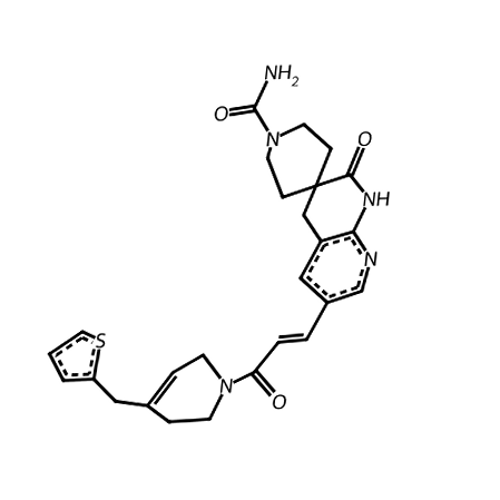 NC(=O)N1CCC2(CC1)Cc1cc(C=CC(=O)N3CC=C(Cc4cccs4)CC3)cnc1NC2=O